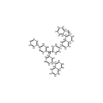 c1ccc(-c2ccc(N(c3ccc(-c4ccc5ccc6sc7ccccc7c6c5c4)cc3)c3cccc(-c4cccc5ccccc45)c3)cc2)cc1